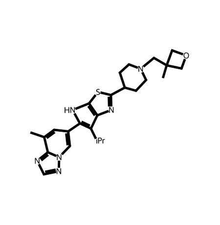 Cc1cc(-c2[nH]c3sc(C4CCN(CC5(C)COC5)CC4)nc3c2C(C)C)cn2ncnc12